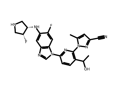 Cc1cc(C#N)nn1-c1nc(-n2cnc3cc(N[C@H]4CNC[C@H]4F)c(F)cc32)ccc1C(C)O